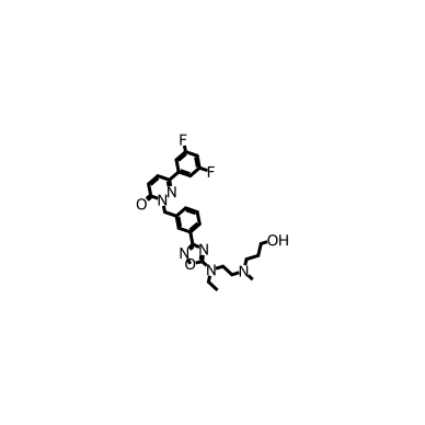 CCN(CCN(C)CCCO)c1nc(-c2cccc(Cn3nc(-c4cc(F)cc(F)c4)ccc3=O)c2)no1